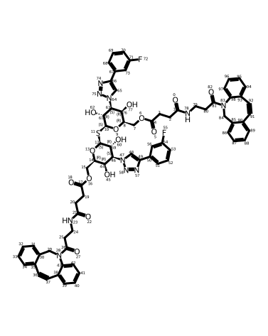 O=C(CCC(=O)OC[C@H]1O[C@@H](S[C@@H]2O[C@H](COC(=O)CCC(=O)NCCC(=O)N3Cc4ccccc4C#Cc4ccccc43)[C@H](O)[C@H](n3cc(-c4cccc(F)c4)nn3)[C@H]2O)[C@H](O)[C@@H](n2cc(-c3cccc(F)c3)nn2)[C@H]1O)NCCC(=O)N1Cc2ccccc2C#Cc2ccccc21